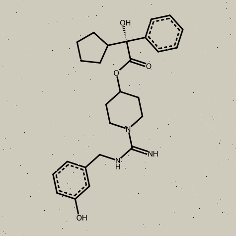 N=C(NCc1cccc(O)c1)N1CCC(OC(=O)[C@](O)(c2ccccc2)C2CCCC2)CC1